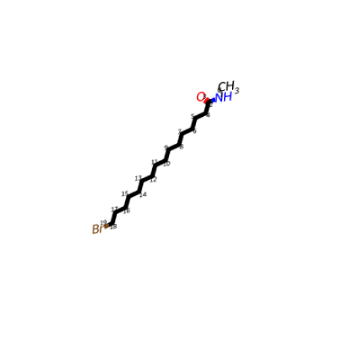 CNC(=O)CCCCCCCCCCCCCCCBr